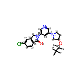 CC(C)(C)[Si](C)(C)OC1CCN(c2cncc(N3Cc4cc(Cl)ccc4C3=O)c2)C1